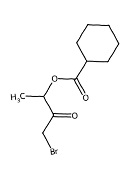 CC(OC(=O)C1CCCCC1)C(=O)CBr